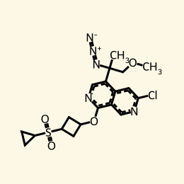 COCC(C)(N=[N+]=[N-])c1cnc(OC2CC(S(=O)(=O)C3CC3)C2)c2cnc(Cl)cc12